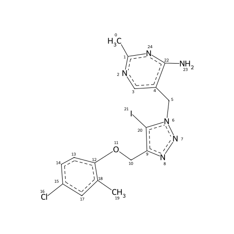 Cc1ncc(Cn2nnc(COc3ccc(Cl)cc3C)c2I)c(N)n1